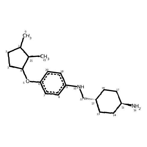 CC1CCC(Oc2ccc(NC[C@H]3CC[C@H](N)CC3)cc2)C1C